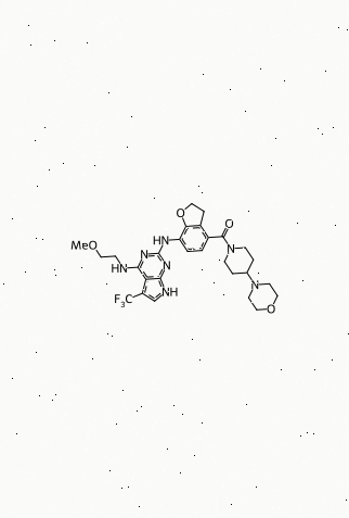 COCCNc1nc(Nc2ccc(C(=O)N3CCC(N4CCOCC4)CC3)c3c2OCC3)nc2[nH]cc(C(F)(F)F)c12